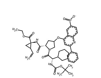 C=CC1C[C@]1(NC(=O)[C@@H]1CC(Oc2cc(-c3ccccc3)nc3ccc([N+](=O)[O-])cc23)CN1C(=O)[C@@H](NC(=O)OC(C)(C)C)C1CCCCC1)C(=O)OCC